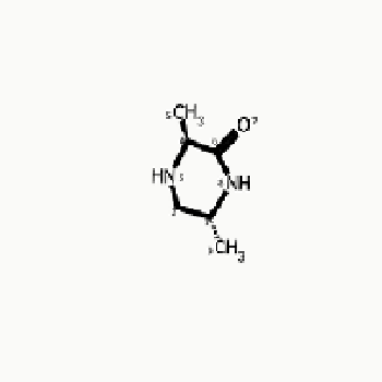 C[C@@H]1CN[C@@H](C)C(=O)N1